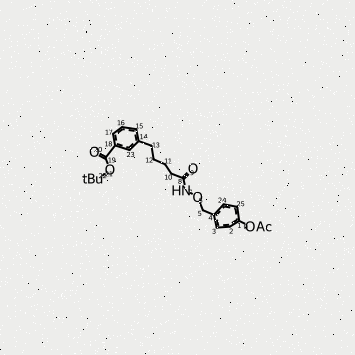 CC(=O)Oc1ccc(CONC(=O)CCCCc2cccc(C(=O)OC(C)(C)C)c2)cc1